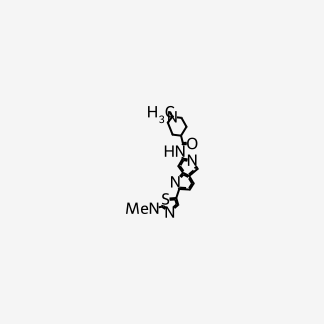 CNc1ncc(-c2ccc3cnc(NC(=O)C4CCN(C)CC4)cc3n2)s1